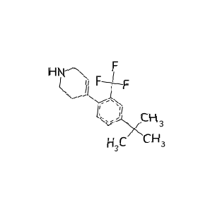 CC(C)(C)c1ccc(C2=CCNCC2)c(C(F)(F)F)c1